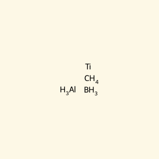 B.C.[AlH3].[Ti]